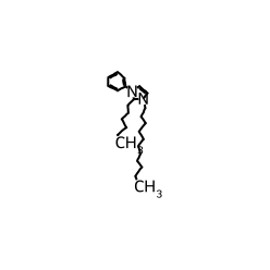 CCCCCCCCCCCN1C=CN(c2ccccc2)C1CCCCCC